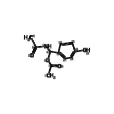 CC(=O)NC(OC(C)=O)c1ccc(O)cc1